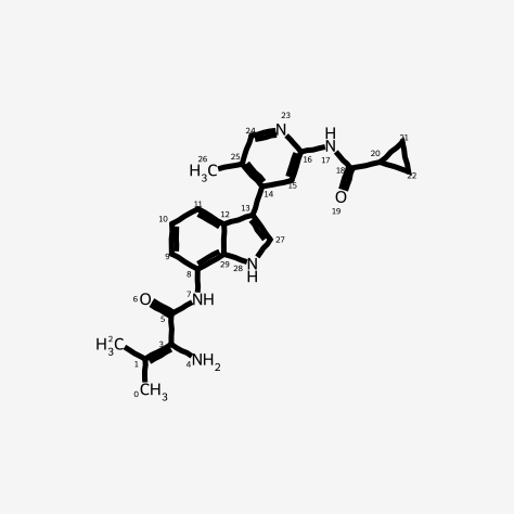 CC(C)=C(N)C(=O)Nc1cccc2c(-c3cc(NC(=O)C4CC4)ncc3C)c[nH]c12